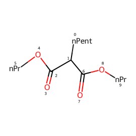 CCCCCC(C(=O)OCCC)C(=O)OCCC